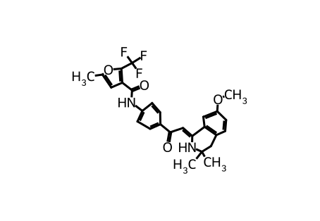 COc1ccc2c(c1)C(=CC(=O)c1ccc(NC(=O)c3cc(C)oc3C(F)(F)F)cc1)NC(C)(C)C2